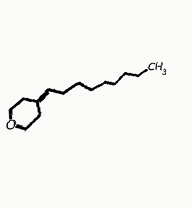 CCCCCCCCC=C1CCOCC1